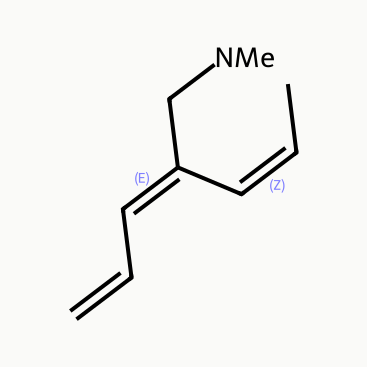 C=C/C=C(\C=C/C)CNC